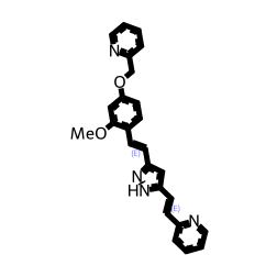 COc1cc(OCc2ccccn2)ccc1/C=C/c1cc(/C=C/c2ccccn2)[nH]n1